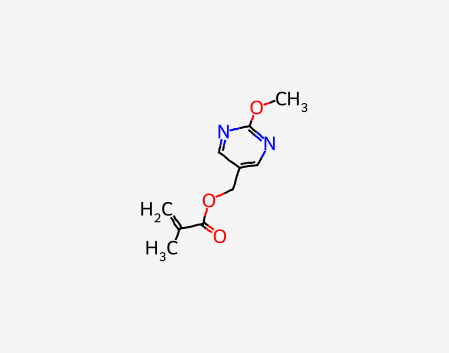 C=C(C)C(=O)OCc1cnc(OC)nc1